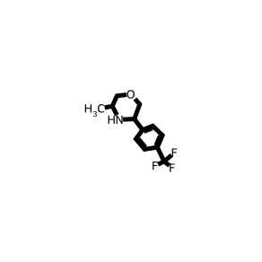 CC1COCC(c2ccc(C(F)(F)F)cc2)N1